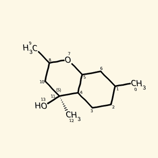 CC1CCC2C(C1)OC(C)C[C@]2(C)O